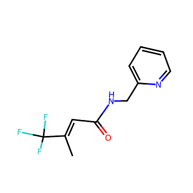 C/C(=C\C(=O)NCc1ccccn1)C(F)(F)F